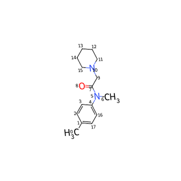 Cc1ccc(N(C)C(=O)CN2CCCCC2)cc1